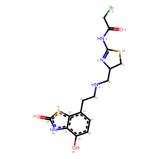 O=C(CBr)NC1=NC(CNCCc2ccc(O)c3[nH]c(=O)sc23)CS1